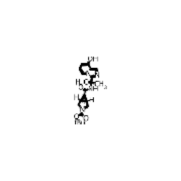 CC(C)(C)OC(=O)N1C[C@@H]2[C@H](C1)[C@H]2C(=O)NC(C)(C)c1ncc2c(O)cccn12